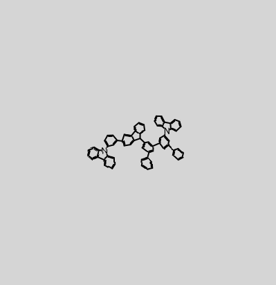 c1ccc(-c2cc(-c3cc(-c4ccccc4)cc(-n4c5ccccc5c5ccccc54)c3)cc(C3c4ccccc4-c4cc(-c5cccc(-n6c7ccccc7c7ccccc76)c5)ccc43)c2)cc1